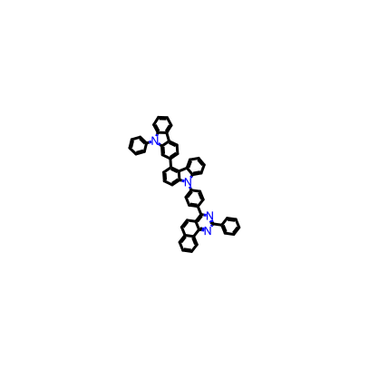 c1ccc(-c2nc(-c3ccc(-n4c5ccccc5c5c(-c6ccc7c8ccccc8n(-c8ccccc8)c7c6)cccc54)cc3)c3ccc4ccccc4c3n2)cc1